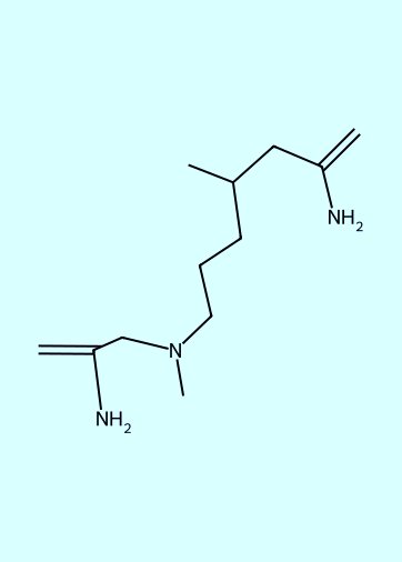 C=C(N)CC(C)CCCN(C)CC(=C)N